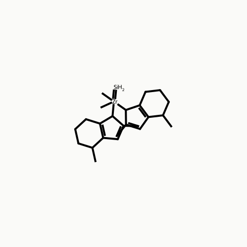 CC1=CC2=C(CCCC2C)[CH]1[Zr]([CH3])([CH3])(=[SiH2])[CH]1C(C)=CC2=C1CCCC2C